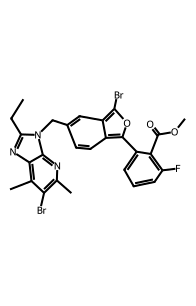 CCc1nc2c(C)c(Br)c(C)nc2n1Cc1ccc2c(-c3cccc(F)c3C(=O)OC)oc(Br)c2c1